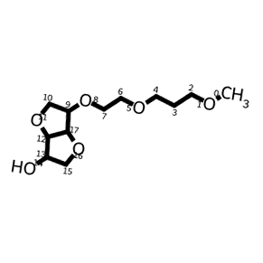 COCCCOCCOC1COC2C(O)COC12